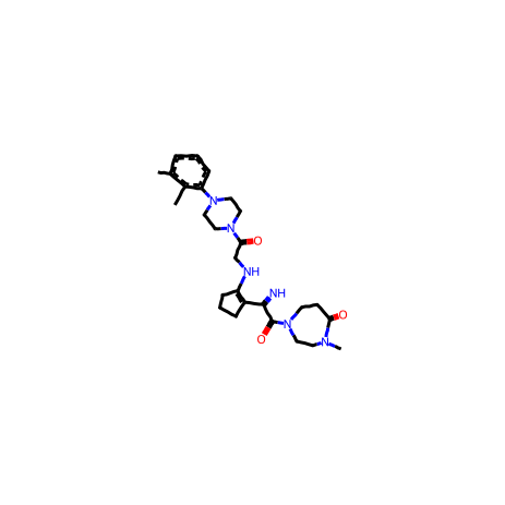 Cc1cccc(N2CCN(C(=O)CNC3=C(C(=N)C(=O)N4CCC(=O)N(C)CC4)CCC3)CC2)c1C